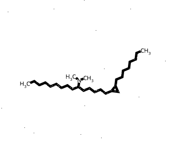 CCCCCCCCCC(CCCCCC1CC1CCCCCCCC)N(C)C